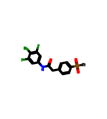 CCS(=O)(=O)c1ccc(CC(=O)Nc2cc(F)c(Br)c(F)c2)cc1